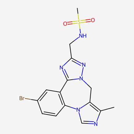 Cc1ncn2c1Cn1nc(CNS(C)(=O)=O)nc1-c1cc(Br)ccc1-2